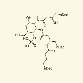 CCCCCCCCCCCCCC(=O)O[C@H](CCCCCCCCCCC)CC(=O)O[C@H]1[C@H](OP(=O)(O)O)[C@@H](CO)OC(O)[C@@H]1NC(=O)C[C@H](O)CCCCCCCCCCC